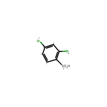 O=S(=O)(O)c1ccc(Br)cc1Br